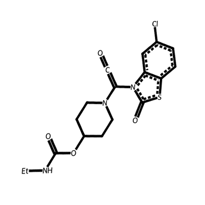 CCNC(=O)OC1CCN(C(=C=O)n2c(=O)sc3ccc(Cl)cc32)CC1